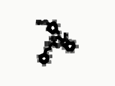 COc1ccc(C[C@@H](NC(=O)NCCc2ccccc2)c2nc3ccccc3[nH]2)cc1